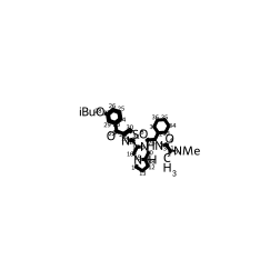 CN[C@@H](C)C(=O)N[C@H](C(=O)N1C[C@H]2CCCN2C[C@H]1c1nc(C(=O)c2cccc(OCC(C)C)c2)cs1)C1CCCCC1